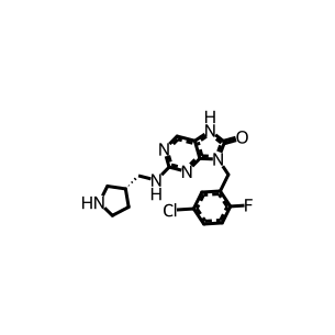 O=c1[nH]c2cnc(NC[C@@H]3CCNC3)nc2n1Cc1cc(Cl)ccc1F